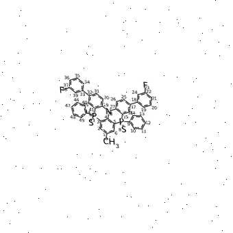 Cc1cc2c3c(c1)P(=S)(c1ccccc1)c1cc(-c4cccc(F)c4)ccc1N3c1ccc(-c3cccc(F)c3)cc1P2(=S)c1ccccc1